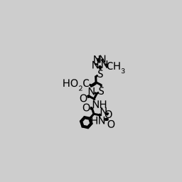 Cn1nnnc1SCC1=C(C(=O)O)N2C(=O)C(NC(=O)C(c3ccccc3)c3noc(=O)[nH]3)C2SC1